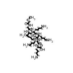 C=C(CCCN)[C@H](NC(=O)CNC(=O)COC)C(=O)N[C@@H](CCCCN)C(=O)N[C@@H](CCCCN)C(=O)N[C@@H](CCCCN)C(=O)N[C@@H](CCCCN)C(=O)O